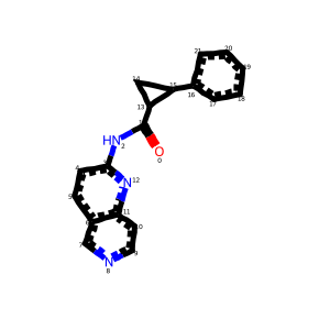 O=C(Nc1ccc2cnccc2n1)C1CC1c1ccccc1